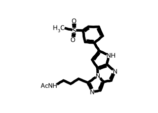 CC(=O)NCCCc1ncc2cnc3[nH]c(-c4cccc(S(C)(=O)=O)c4)cc3n12